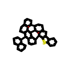 c1ccc(-c2ccccc2-c2c3ccccc3c(-c3cccc4ccccc34)c3cccc(-c4cccc5c4sc4ccccc45)c23)cc1